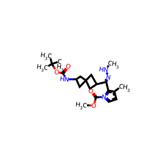 CN/N=C(/c1c(C)ccn1C(=O)OC)C1CC2(CC(NC(=O)OC(C)(C)C)C2)C1